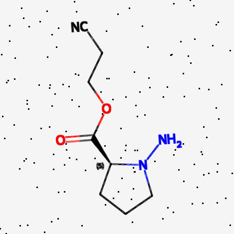 N#CCCOC(=O)[C@@H]1CCCN1N